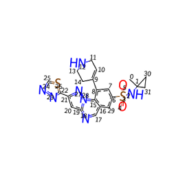 CC1(NS(=O)(=O)c2cc(C3=CCNCC3)c3c(cnc4cc(-c5nncs5)nn43)c2)CC1